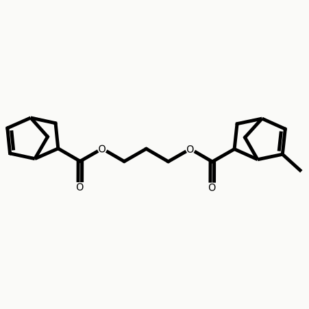 CC1=CC2CC(C(=O)OCCCOC(=O)C3CC4C=CC3C4)C1C2